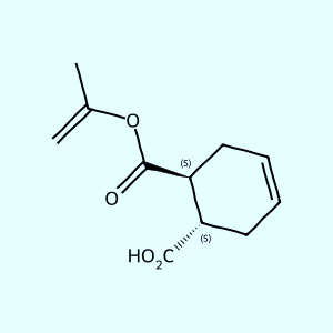 C=C(C)OC(=O)[C@H]1CC=CC[C@@H]1C(=O)O